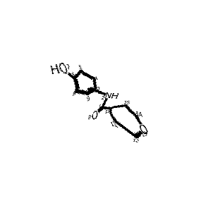 O=C(Nc1ccc(O)cc1)C1CCOCC1